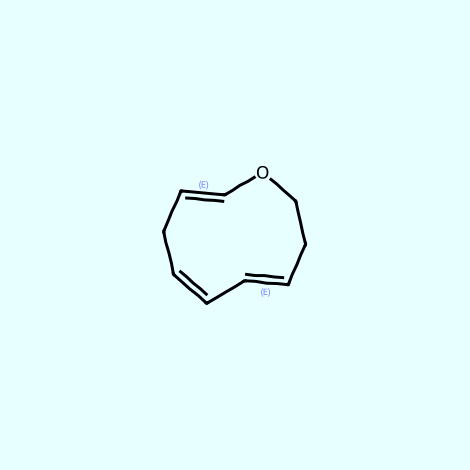 C1=CC/C=C/OCC/C=C/1